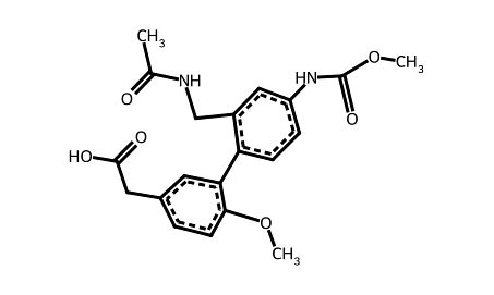 COC(=O)Nc1ccc(-c2cc(CC(=O)O)ccc2OC)c(CNC(C)=O)c1